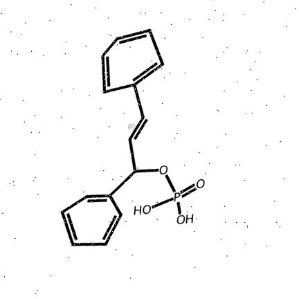 O=P(O)(O)OC(/C=C/c1ccccc1)c1ccccc1